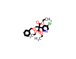 CCOC(=O)C(COCc1ccccc1)(C(=O)OCC)c1cc(Br)cnc1OCC